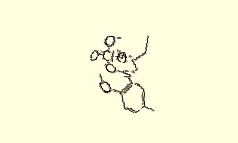 CCCC[S+](O[Cl+3]([O-])([O-])[O-])c1cc(C)ccc1OC